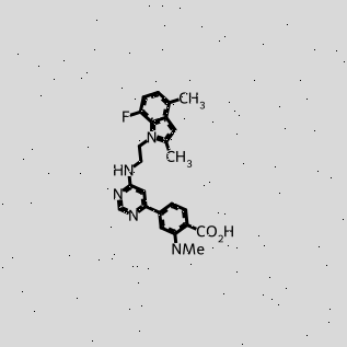 CNc1cc(-c2cc(NCCn3c(C)cc4c(C)ccc(F)c43)ncn2)ccc1C(=O)O